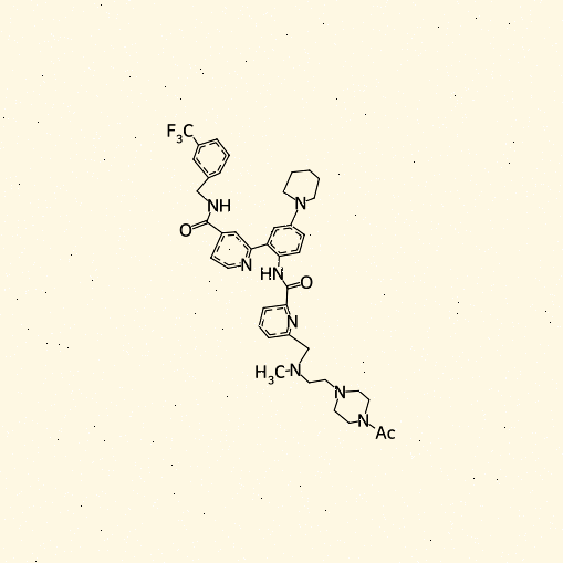 CC(=O)N1CCN(CCN(C)Cc2cccc(C(=O)Nc3ccc(N4CCCCC4)cc3-c3cc(C(=O)NCc4cccc(C(F)(F)F)c4)ccn3)n2)CC1